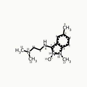 Cc1ccc2c(c1)c(NCCN(C)C)[n+]([O-])n2C